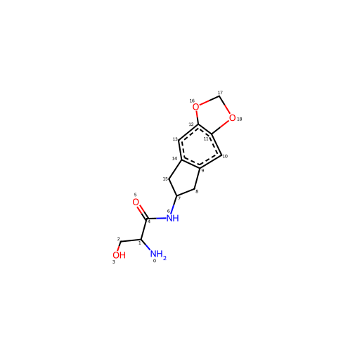 NC(CO)C(=O)NC1Cc2cc3c(cc2C1)OCO3